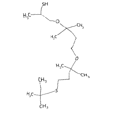 CC(S)COC(C)(C)CCOC(C)(C)CCSC(C)(C)C